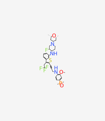 COc1cc(P(C)(C)=O)ccc1NCC#Cc1sc2c(N[C@@H]3CCN(C4C[C@@H](C)O[C@@H](C)C4)C[C@@H]3F)cccc2c1CC(F)(F)F